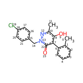 Cc1ccccc1-c1c(O)c(C)nn(Cc2ccc(Cl)cc2)c1=O